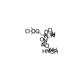 Cc1cc(OCCCc2c3n(c4c(-c5c(C)nn(C)c5C)c(Cl)ccc24)C(C)CN(c2cn(C)c4cc(C(=N)NO)ccc24)C3=O)cc(C)c1Cl